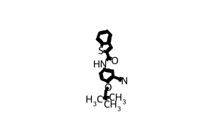 CC(C)(C)COc1ccc(NC(=O)c2cc3ccccc3s2)cc1C#N